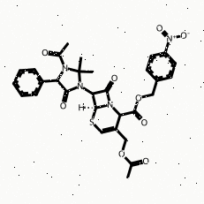 CC(=O)OCC1=CS[C@H]2C(N3C(=O)C(c4ccccc4)N(C(C)=O)C3(C)C)C(=O)N2C1C(=O)OCc1ccc([N+](=O)[O-])cc1